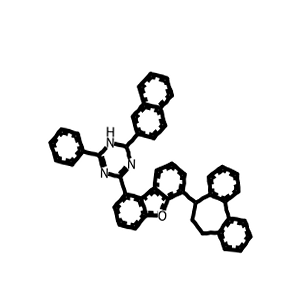 c1ccc(C2=NC(c3cccc4oc5c(C6CCc7ccccc7-c7ccccc76)cccc5c34)=NC(c3ccc4ccccc4c3)N2)cc1